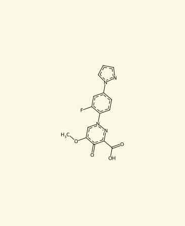 COc1cn(-c2ccc(-n3cccn3)cc2F)nc(C(=O)O)c1=O